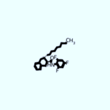 CCCCCCCCC[C@H]1Cc2ccccc2C[C@@H]1C(=O)Nc1c(F)cc(F)cc1F